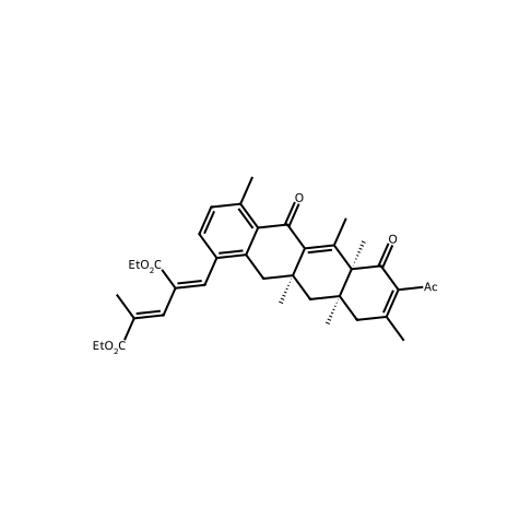 CCOC(=O)C(=C\c1ccc(C)c2c1C[C@]1(C)C[C@]3(C)CC(C)=C(C(C)=O)C(=O)[C@]3(C)C(C)=C1C2=O)/C=C(\C)C(=O)OCC